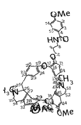 COc1ccc(C(=O)NCCCOc2ccc3cc2Oc2ccc(cc2)CC2c4cc(c(OC)cc4CCN2C)Oc2c(OC)c(OC)cc4c2C(C3)N(C)CC4)cc1